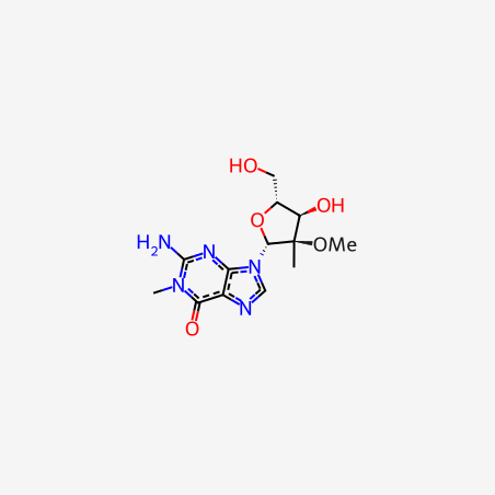 CO[C@]1(C)[C@H](O)[C@@H](CO)O[C@H]1n1cnc2c(=O)n(C)c(N)nc21